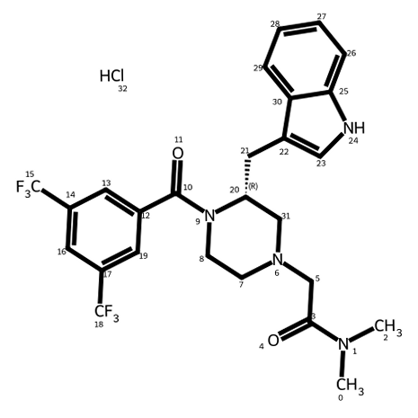 CN(C)C(=O)CN1CCN(C(=O)c2cc(C(F)(F)F)cc(C(F)(F)F)c2)[C@H](Cc2c[nH]c3ccccc23)C1.Cl